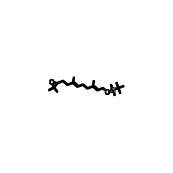 C/C(=C\CO[Si](C)(C)C(C)(C)C)CC/C=C(\C)CCC1OC1(C)C